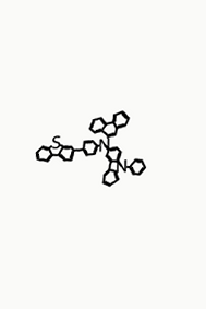 c1ccc(-n2c3ccccc3c3cc(N(c4ccc(-c5ccc6c(c5)sc5ccccc56)cc4)c4cc5ccccc5c5ccccc45)ccc32)cc1